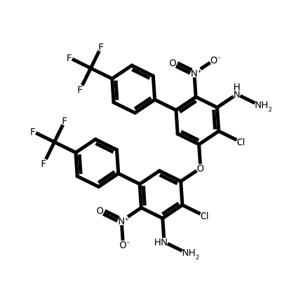 NNc1c(Cl)c(Oc2cc(-c3ccc(C(F)(F)F)cc3)c([N+](=O)[O-])c(NN)c2Cl)cc(-c2ccc(C(F)(F)F)cc2)c1[N+](=O)[O-]